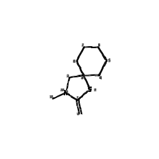 C=C1SC2(CCCCC2)CN1C